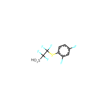 O=S(=O)(O)C(F)(F)C(F)(F)Sc1ccc(F)cc1F